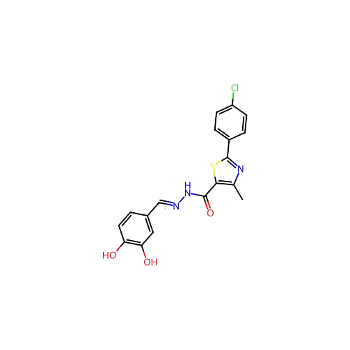 Cc1nc(-c2ccc(Cl)cc2)sc1C(=O)N/N=C/c1ccc(O)c(O)c1